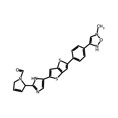 CN1C=C(c2ccc(-c3cc4sc(-c5cnc(C6C=CCN6C=O)[nH]5)cc4s3)cc2)NO1